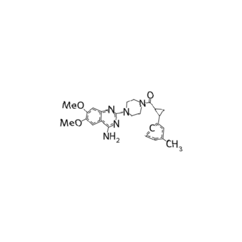 COc1cc2nc(N3CCN(C(=O)C4CC4c4cccc(C)c4)CC3)nc(N)c2cc1OC